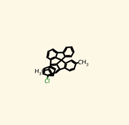 Cc1ccc2c(c1)C1(c3cc(C)ccc3-2)c2ccccc2-c2cccc(-c3ccc(Cl)cc3)c21